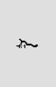 [CH]=CCCCC(C)NC